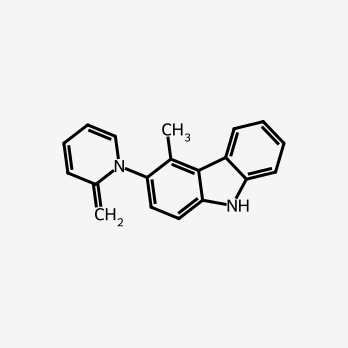 C=C1C=CC=CN1c1ccc2[nH]c3ccccc3c2c1C